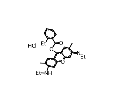 CCN=c1cc2oc3cc(NCC)c(C)cc3c(OC(=O)c3ccccc3CC)c-2cc1C.Cl